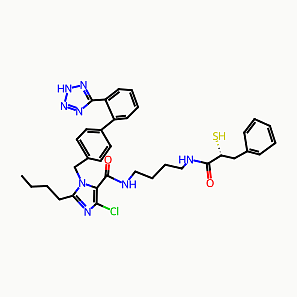 CCCCc1nc(Cl)c(C(=O)NCCCCNC(=O)[C@H](S)Cc2ccccc2)n1Cc1ccc(-c2ccccc2-c2nn[nH]n2)cc1